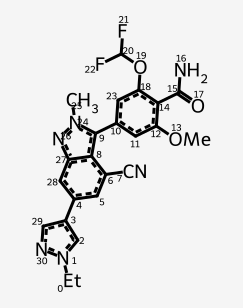 CCn1cc(-c2cc(C#N)c3c(-c4cc(OC)c(C(N)=O)c(OC(F)F)c4)n(C)nc3c2)cn1